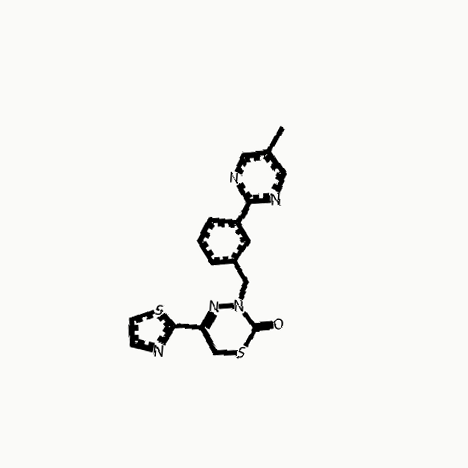 Cc1cnc(-c2cccc(CN3N=C(c4nccs4)CSC3=O)c2)nc1